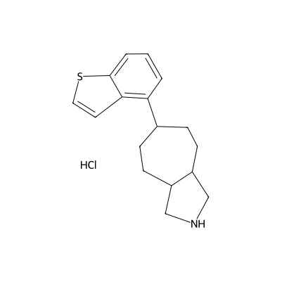 Cl.c1cc(C2CCC3CNCC3CC2)c2ccsc2c1